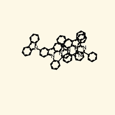 c1ccc(-c2nc(-c3ccccc3-n3c4ccccc4c4cc(-n5c6ccccc6c6ccccc65)ccc43)cc(-c3ccccc3-n3c4ccccc4c4cccc(-c5ccccc5-c5nc(-c6ccccc6)nc(-c6ccccc6)n5)c43)n2)cc1